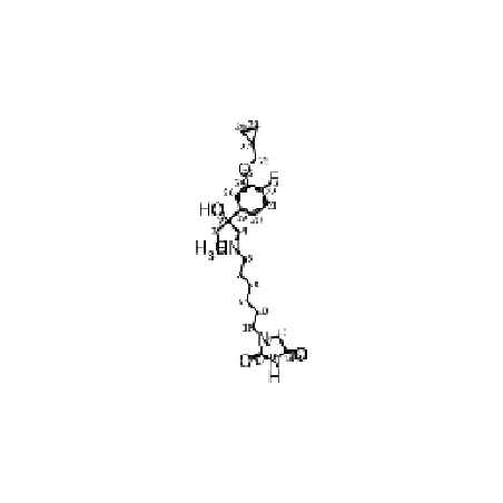 CCC(O)(CNCCCCCCN1CC(=O)NC1=O)c1ccc(F)c(OCC2CC2)c1